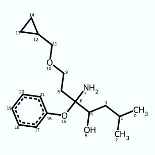 CC(C)CC(O)C(N)(CCOCC1CC1)Oc1ccccc1